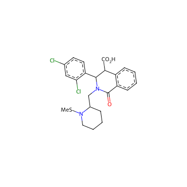 CSN1CCCCC1CN1C(=O)c2ccccc2C(C(=O)O)C1c1ccc(Cl)cc1Cl